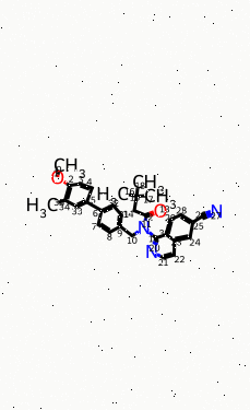 COc1ccc(-c2ccc(CN(C(=O)CC(C)(C)C)c3nccc4cc(C#N)ccc34)cc2)cc1C